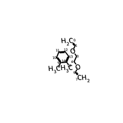 C=COCCOC=C.Cc1ccccc1C